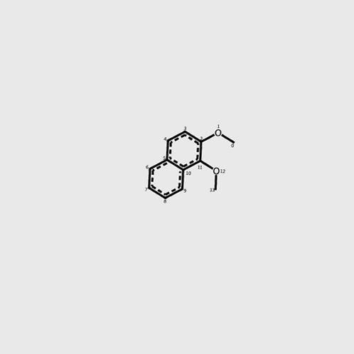 COc1ccc2[c]cccc2c1OC